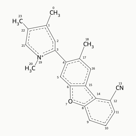 Cc1cc(-c2cc3oc4cccc(C#N)c4c3cc2C)[n+](C)cc1C